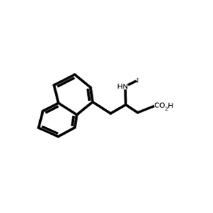 O=C(O)CC(Cc1cccc2ccccc12)NI